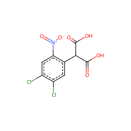 O=C(O)C(C(=O)O)c1cc(Cl)c(Cl)cc1[N+](=O)[O-]